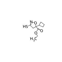 CCOC(=O)C1(C2CCC2)CC(S)=NO1